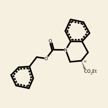 CCOC(=O)[C@H]1Cc2ccccc2N(C(=O)OCc2ccccc2)C1